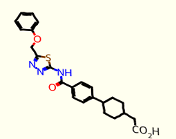 O=C(O)CC1CCC(c2ccc(C(=O)Nc3nnc(COc4ccccc4)s3)cc2)CC1